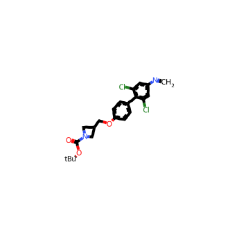 C=Nc1cc(Cl)c(-c2ccc(OCC3CN(C(=O)OC(C)(C)C)C3)cc2)c(Cl)c1